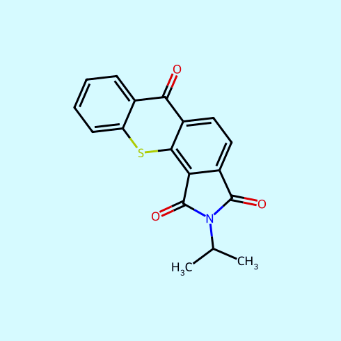 CC(C)N1C(=O)c2ccc3c(=O)c4ccccc4sc3c2C1=O